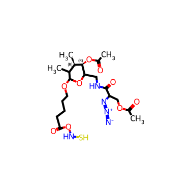 CC(=O)OCC(N=[N+]=[N-])C(=O)NCC1OC(OCCCCC(=O)ONS)C(C)[C@@H](C)[C@H]1OC(C)=O